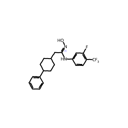 O/N=C(\CC1CCC(c2ccccc2)CC1)Nc1ccc(C(F)(F)F)c(F)c1